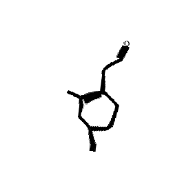 CC1=C(CC=O)CCC(C)C1